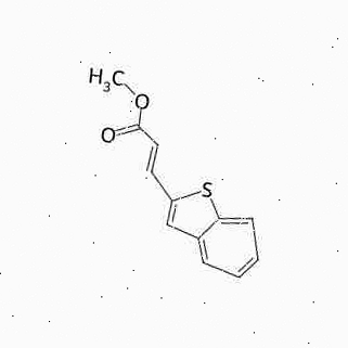 COC(=O)C=Cc1cc2ccccc2s1